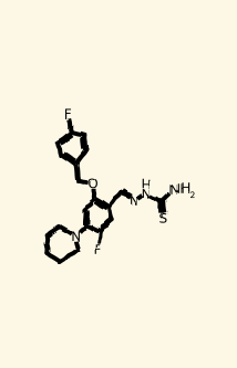 NC(=S)NN=Cc1cc(F)c(N2CCCCC2)cc1OCc1ccc(F)cc1